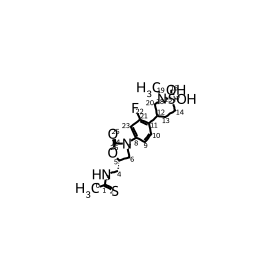 CC(=S)NC[C@H]1CN(c2ccc(C3CCS(O)(O)N(C)C3)c(F)c2)C(=O)O1